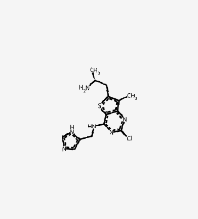 Cc1c(C[C@H](C)N)sc2c(NCc3cnc[nH]3)nc(Cl)nc12